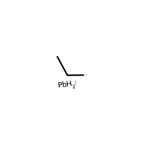 [CH2]CC.[PbH2]